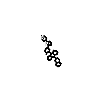 Cc1ccc(-c2cccc(-c3ccncc3)n2)cc1C1=c2ccccc2=C(C2=Cc3ccccc3CC2)C2C=CC=CC12